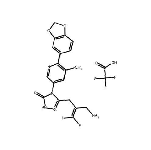 Cc1cc(-n2c(CC(CN)=C(F)F)n[nH]c2=O)cnc1-c1ccc2c(c1)OCO2.O=C(O)C(F)(F)F